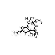 C=CCC1(C)C(=O)CC(C)(C)CC1=O